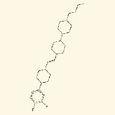 CCCCC1CCC(C2CCC(/C=C/C3CCC(c4ccc(F)c(F)c4)CC3)CC2)CC1